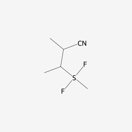 CC(C#N)C(C)S(C)(F)F